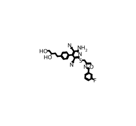 N#Cc1c(N)nc(SCc2coc(-c3cccc(F)c3)n2)c(C#N)c1-c1ccc(CC[C@H](O)CO)cc1